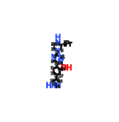 CC(C)C1CN(c2ncc(-c3ccc(-c4cn[nH]c4)cc3O)nn2)CCN1